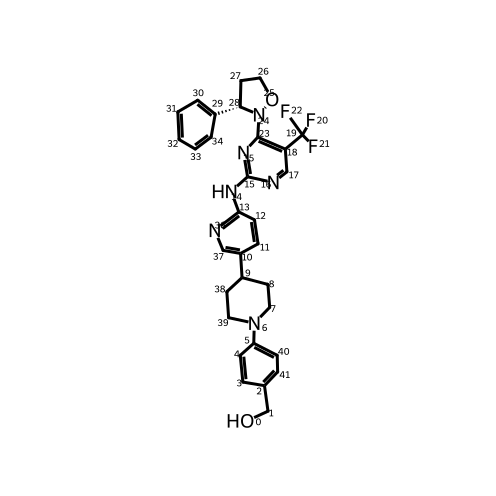 OCc1ccc(N2CCC(c3ccc(Nc4ncc(C(F)(F)F)c(N5OCC[C@H]5c5ccccc5)n4)nc3)CC2)cc1